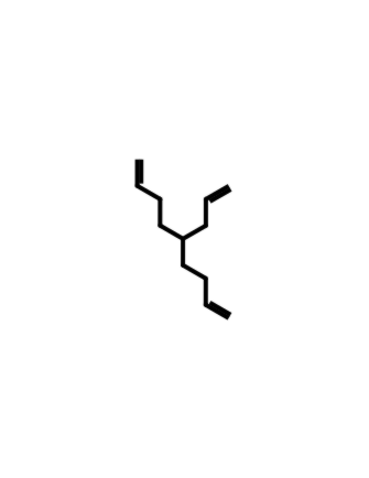 C=CCCC(CC=C)CCC=C